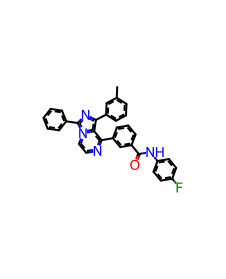 Cc1cccc(-c2nc(-c3ccccc3)n3ccnc(-c4cccc(C(=O)Nc5ccc(F)cc5)c4)c23)c1